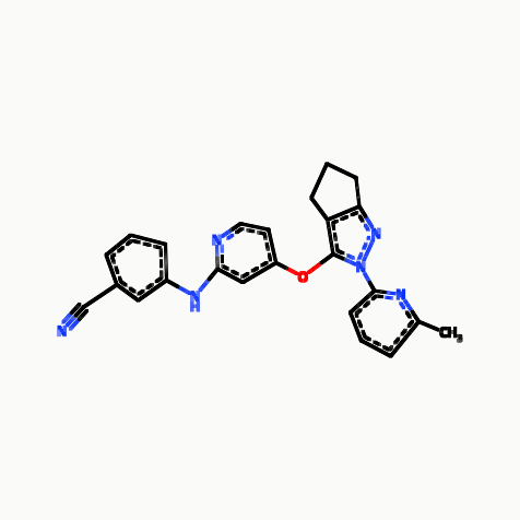 Cc1cccc(-n2nc3c(c2Oc2ccnc(Nc4cccc(C#N)c4)c2)CCC3)n1